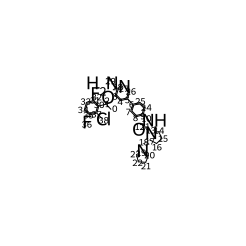 CC(Oc1cc(-c2ccc(NC(=O)N3CCC[C@@H]3CN3CCCC3)cc2)cnc1N)c1c(F)ccc(F)c1Cl